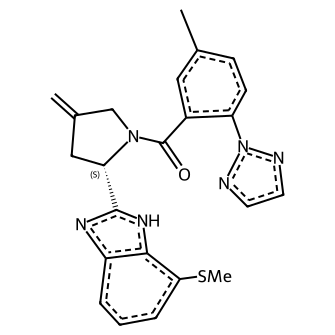 C=C1C[C@@H](c2nc3cccc(SC)c3[nH]2)N(C(=O)c2cc(C)ccc2-n2nccn2)C1